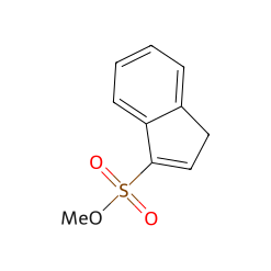 COS(=O)(=O)C1=CCc2ccccc21